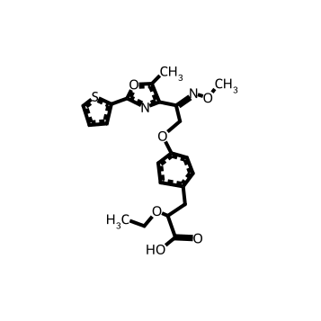 CCOC(Cc1ccc(OC/C(=N\OC)c2nc(-c3cccs3)oc2C)cc1)C(=O)O